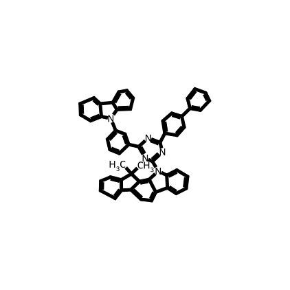 CC1(C)c2ccccc2-c2ccc3c4ccccc4n(-c4nc(-c5ccc(-c6ccccc6)cc5)nc(-c5cccc(-n6c7ccccc7c7ccccc76)c5)n4)c3c21